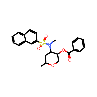 CC1CC(N(C)S(=O)(=O)c2ccc3ccccc3c2)C(OC(=O)c2ccccc2)CO1